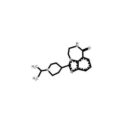 CC(C)N1CCC(c2nc3cccc4c3n2CCNC4=O)CC1